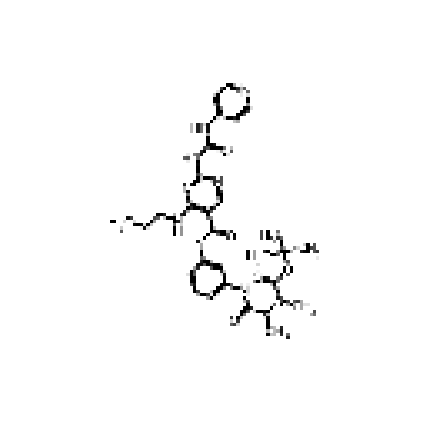 CCCNc1nc(NC(=O)Nc2ccncc2)ncc1C(=O)Nc1cccc(NC(=O)C(C)N(C)C(=O)OC(C)(C)C)c1